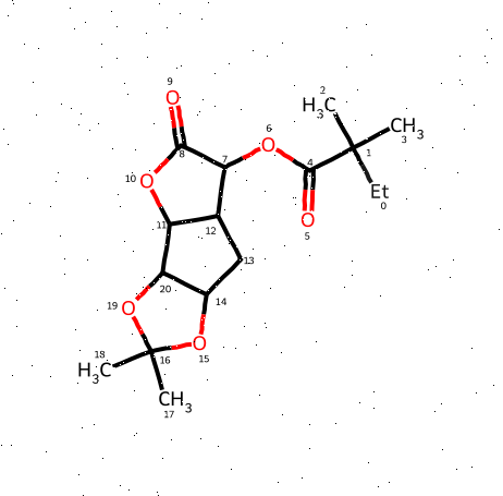 CCC(C)(C)C(=O)OC1C(=O)OC2C1CC1OC(C)(C)OC12